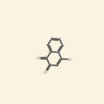 O=C1C=C(Cl)c2ccccc2C1=O